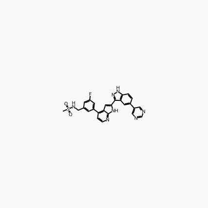 CS(=O)(=O)NCc1cc(F)cc(-c2ccnc3[nH]c(-c4n[nH]c5ccc(-c6cncnc6)cc45)cc23)c1